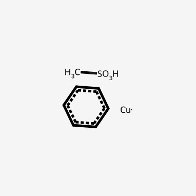 CS(=O)(=O)O.[Cu].c1ccccc1